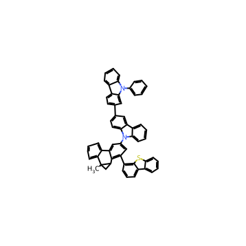 CC12CC1c1c(cc(-n3c4ccccc4c4cc(-c5ccc6c7ccccc7n(-c7ccccc7)c6c5)ccc43)cc1-c1cccc3c1sc1ccccc13)-c1ccccc12